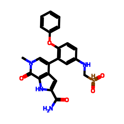 Cn1cc(-c2cc(NC[SH](=O)=O)ccc2Oc2ccccc2)c2cc(C(N)=O)[nH]c2c1=O